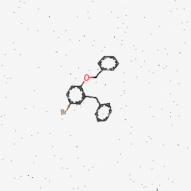 Brc1ccc(OCc2ccccc2)c(Cc2ccccc2)c1